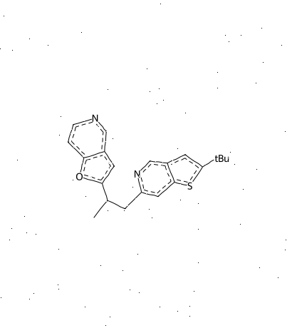 CC(Cc1cc2sc(C(C)(C)C)cc2cn1)c1cc2cnccc2o1